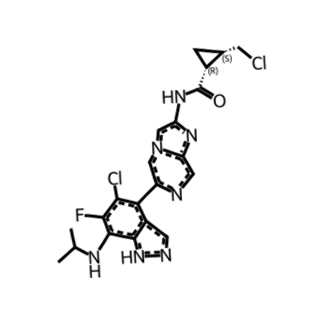 CC(C)Nc1c(F)c(Cl)c(-c2cn3cc(NC(=O)[C@@H]4C[C@@H]4CCl)nc3cn2)c2cn[nH]c12